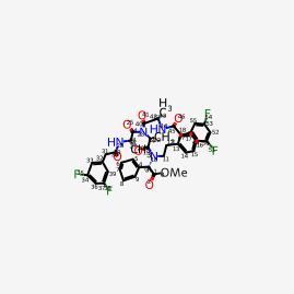 COC(=O)[C@H](c1ccccc1)N(CCc1ccccc1)C(=O)[C@H](C)N(C(=O)[C@H](C)NC(=O)Cc1cc(F)cc(F)c1)C(=O)[C@H](C)NC(=O)Cc1cc(F)cc(F)c1